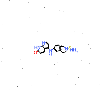 NSN1CCc2cc(Nc3ccnc4[nH]c(=O)ccc34)ccc2C1